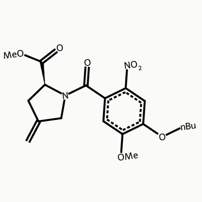 C=C1C[C@@H](C(=O)OC)N(C(=O)c2cc(OC)c(OCCCC)cc2[N+](=O)[O-])C1